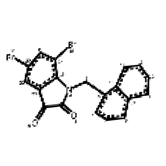 O=C1C(=O)N(Cc2cccc3ccccc23)c2c(Br)cc(Br)cc21